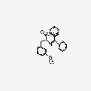 CCOc1cccc(C[C@H](N=C(c2ccccc2)c2ccccc2)C(=O)OC)c1